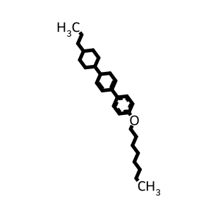 CCCCCCCCOc1ccc(C2=CCC(C3CCC(CCC)CC3)C=C2)cc1